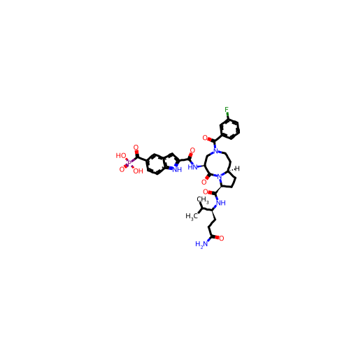 CC(C)[C@H](CCC(N)=O)NC(=O)[C@@H]1CC[C@@H]2CCN(C(=O)c3cccc(F)c3)C[C@H](NC(=O)c3cc4cc(C(=O)P(=O)(O)O)ccc4[nH]3)C(=O)N21